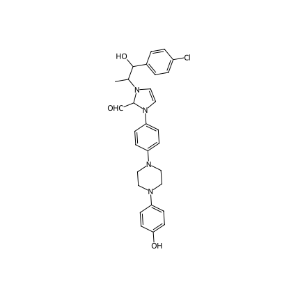 CC(C(O)c1ccc(Cl)cc1)N1C=CN(c2ccc(N3CCN(c4ccc(O)cc4)CC3)cc2)C1C=O